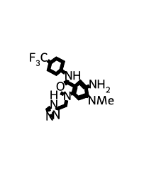 CNc1cc(N(C)Cc2nnc[nH]2)c(C(=O)NC2CCC(C(F)(F)F)CC2)cc1N